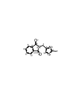 Cc1nc(CN2C(=O)c3ccccc3C2=O)cs1